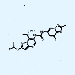 CO[C@@H](C)c1c(NC(=O)Nc2cc(F)c3nc(C)nn3c2)cnc2cc(OC(F)F)nn12